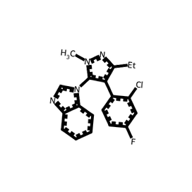 CCc1nn(C)c(-n2cnc3ccccc32)c1-c1ccc(F)cc1Cl